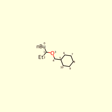 CCCCC(CC)OCC1CCCCC1